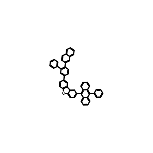 c1ccc(-c2cc(-c3ccc4oc5ccc(-c6c7ccccc7c(-c7ccccc7)c7ccccc67)cc5c4c3)ccc2-c2ccc3ccccc3c2)cc1